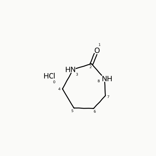 Cl.O=C1NCCCCN1